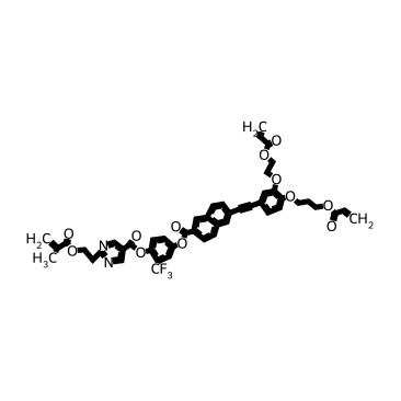 C=CC(=O)OCCCOc1ccc(C#Cc2ccc3cc(C(=O)Oc4ccc(OC(=O)c5cnc(CCOC(=O)C(=C)C)nc5)c(C(F)(F)F)c4)ccc3c2)cc1OCCOC(=O)C=C